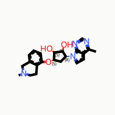 Cc1ncnc2c1ccn2[C@@H]1C[C@H](Oc2cccc3c2CCN(C)C3)[C@@H](O)[C@H]1O